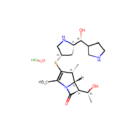 C[C@@H](O)[C@H]1C(=O)N2C(C(=O)O)=C(S[C@@H]3CN[C@H]([C@H](O)C4CCNC4)C3)[C@H](C)[C@H]12.Cl.O